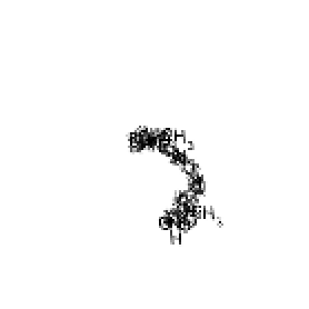 COc1cc2nn([C@H]3CC[C@H](CN4CCC(Cc5cccc6c5n(C)c(=O)n6C5CCC(=O)NC5=O)CC4)CC3)cc2cc1NC(=O)c1cccc(C(F)(F)F)n1